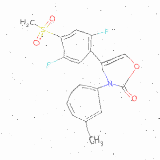 Cc1cccc(-n2c(-c3cc(F)c(S(C)(=O)=O)cc3F)coc2=O)c1